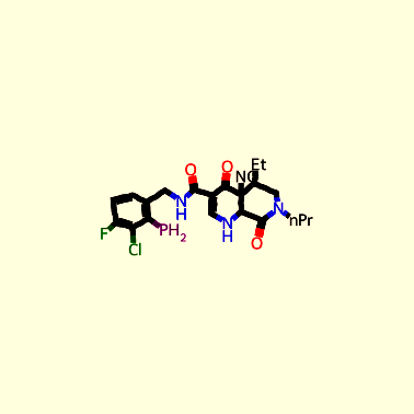 CCCN1CC(CC)C2(N=O)C(=O)C(C(=O)NCc3ccc(F)c(Cl)c3P)=CNC2C1=O